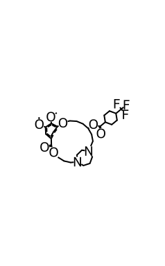 COc1cc2cc(c1OC)OCCCC(OC(=O)C1CCC(C(F)(F)F)CC1)CCN1CCCN(CCCOC2=O)CC1